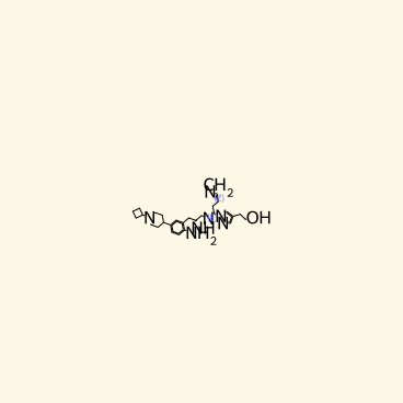 C=N/C=C\C/C(=N\CC(=N)Cc1cc(C2CCN(C3CCC3)CC2)ccc1N)n1cc(CCO)cn1